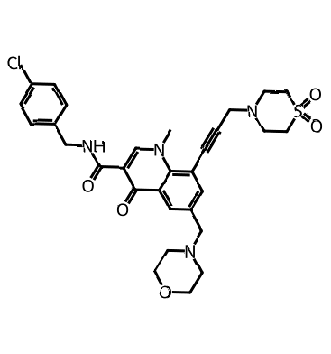 Cn1cc(C(=O)NCc2ccc(Cl)cc2)c(=O)c2cc(CN3CCOCC3)cc(C#CCN3CCS(=O)(=O)CC3)c21